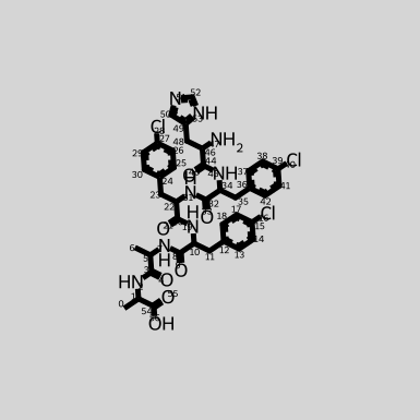 CC(NC(=O)C(C)NC(=O)C(Cc1ccc(Cl)cc1)NC(=O)C(Cc1ccc(Cl)cc1)NC(=O)C(Cc1ccc(Cl)cc1)NC(=O)C(N)Cc1cnc[nH]1)C(=O)O